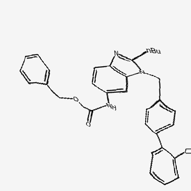 CCCCc1nc2ccc(NC(=O)OCc3ccccc3)cc2n1Cc1ccc(-c2ccccc2C)cc1